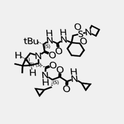 CC(C)(C)[C@H](NC(=O)NC1(CS(=O)(=O)N2CCC2)CCCCC1)C(=O)N1C[C@H]2[C@@H]([C@H]1C(=O)N[C@@H](CC1CC1)C(=O)C(=O)NC1CC1)C2(C)C